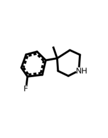 CC1(c2cccc(F)c2)CCNCC1